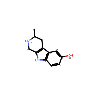 CC1Cc2c([nH]c3ccc(O)cc23)CN1